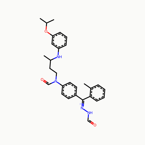 Cc1ccccc1/C(=N\NC=O)c1ccc(N(C=O)CCC(C)Nc2cccc(OC(C)C)c2)cc1